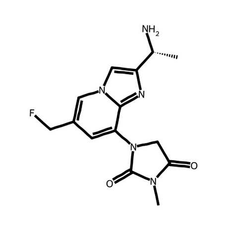 C[C@@H](N)c1cn2cc(CF)cc(N3CC(=O)N(C)C3=O)c2n1